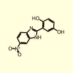 O=[N+]([O-])c1ccc2nc(-c3cc(O)ccc3O)[nH]c2c1